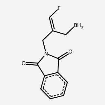 BC/C(=C\F)CN1C(=O)c2ccccc2C1=O